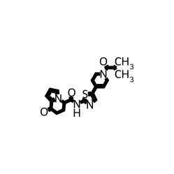 CC(C)C(=O)N1CC=C(c2cnc(NC(=O)C3CCC(=O)c4cccn43)s2)CC1